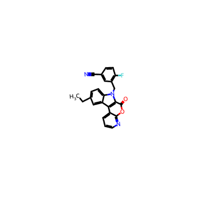 CCc1ccc2c(c1)c1c3cccnc3oc(=O)c1n2Cc1cc(C#N)ccc1F